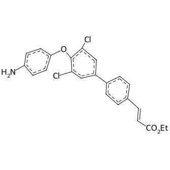 CCOC(=O)C=Cc1ccc(-c2cc(Cl)c(Oc3ccc(N)cc3)c(Cl)c2)cc1